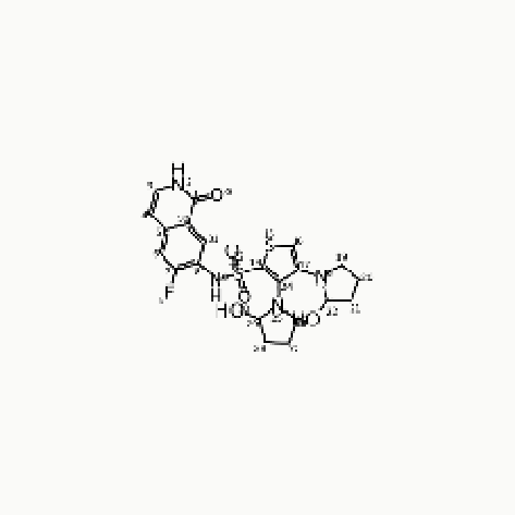 O=c1[nH]ccc2cc(F)c(NS(=O)(=O)c3scc(N4CCCC4O)c3N3CCCC3O)cc12